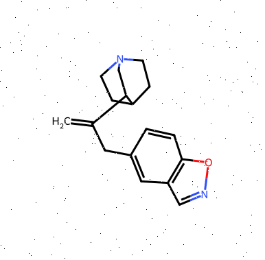 C=C(Cc1ccc2oncc2c1)C1CN2CCC1CC2